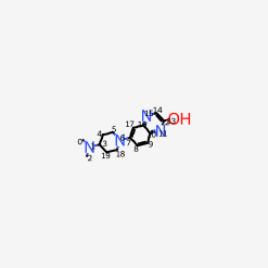 CN(C)C1CCN(c2ccc3nc(O)cnc3c2)CC1